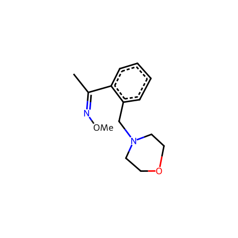 CO/N=C(/C)c1ccccc1CN1CCOCC1